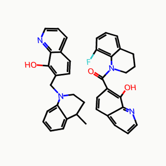 CC1CCN(Cc2ccc3cccnc3c2O)c2ccccc21.O=C(c1ccc2cccnc2c1O)N1CCCc2cccc(F)c21